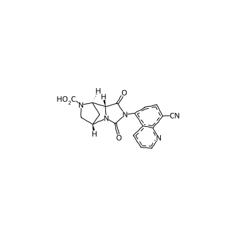 N#Cc1ccc(N2C(=O)[C@H]3[C@H]4C[C@@H](CN4C(=O)O)N3C2=O)c2cccnc12